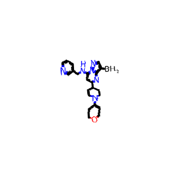 Bc1cnn2c(NCc3cccnc3)cc(C3CCN(C4CCOCC4)CC3)nc12